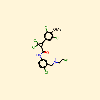 COc1c(Cl)cc(C2C(C(=O)Nc3ccc(Cl)c(CNCCF)c3)C2(Cl)Cl)cc1Cl